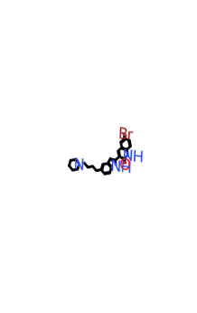 O=c1[nH]c2ccc(Br)cc2cc1-c1cc2cc(CCCCN3CCCCC3)ccc2[nH]1